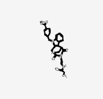 C=CC(=O)NCCN1C(=O)C2CN(Cc3c2c2ccccc2n3Cc2ccc(C(=O)OC(C)(C)C)cc2)C1=O